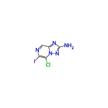 Nc1nc2cnc(I)c(Cl)n2n1